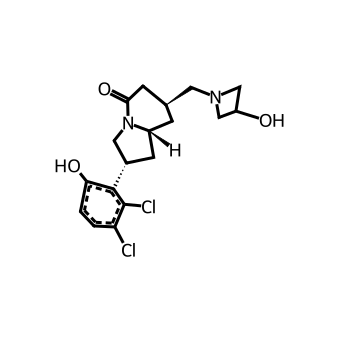 O=C1C[C@@H](CN2CC(O)C2)C[C@@H]2C[C@H](c3c(O)ccc(Cl)c3Cl)CN12